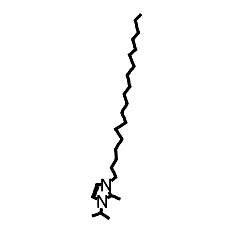 CCCCCCCCCCCCCCCCCCCN1C=CN(C(C)C)C1C